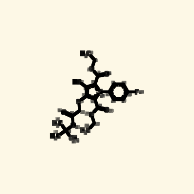 CCOC(=O)c1c(O)c(OCC(=O)OC(C)(C)C)c(C(=O)OCC)n1-c1ccc(F)cc1